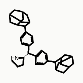 c1cc(C(c2ccc(C3C4CC5CC(C4)CC3C5)cc2)[C@@H]2CCCN2)ccc1C1C2CC3CC(C2)CC1C3